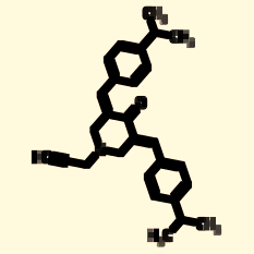 C#CCN1CC(=Cc2ccc(C(C)C)cc2)C(=O)C(=Cc2ccc(C(C)C)cc2)C1